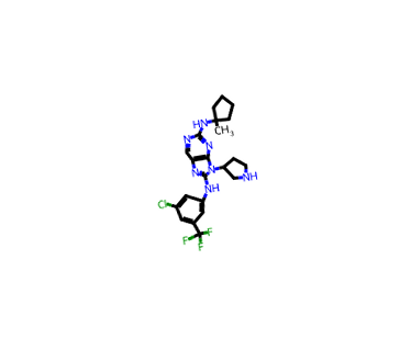 CC1(Nc2ncc3nc(Nc4cc(Cl)cc(C(F)(F)F)c4)n(C4CCNC4)c3n2)CCCC1